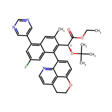 CCOC(=O)[C@@H](OC(C)(C)C)c1c(C)cc2c(-c3cncnc3)cc(F)cc2c1-c1ccc2c3c(ccnc13)CCO2